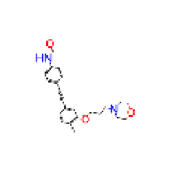 Cc1ccc(C#Cc2ccc(NC=O)cc2)cc1OCCCN1CCOCC1